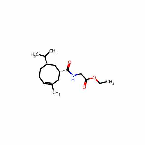 CCOC(=O)CNC(=O)[C@@H]1CC(C)=CCC[C@@H](C(C)C)C1